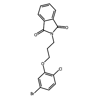 O=C1c2ccccc2C(=O)N1CCCOc1cc(Br)ccc1Cl